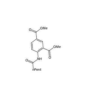 CCCCCC(=O)Nc1ccc(C(=O)OC)cc1C(=O)OC